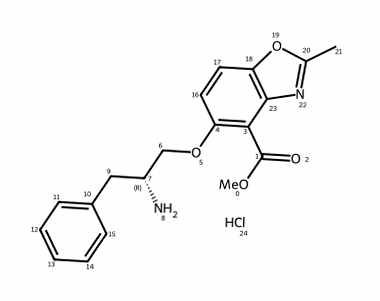 COC(=O)c1c(OC[C@H](N)Cc2ccccc2)ccc2oc(C)nc12.Cl